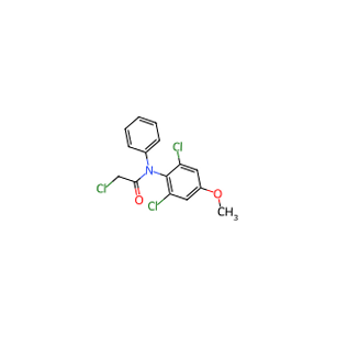 COc1cc(Cl)c(N(C(=O)CCl)c2ccccc2)c(Cl)c1